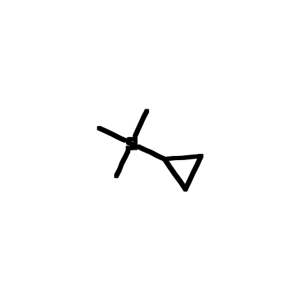 C[Si](C)(C)C1CC1